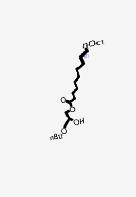 CCCCCCCC/C=C/CCCCCCCC(=O)OCC(O)COCCCC